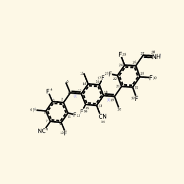 C/C(c1c(F)c(F)c(C#N)c(F)c1F)=c1\c(C)c(F)/c(=C(/C)c2c(F)c(F)c(C=N)c(F)c2F)c(C#N)c1F